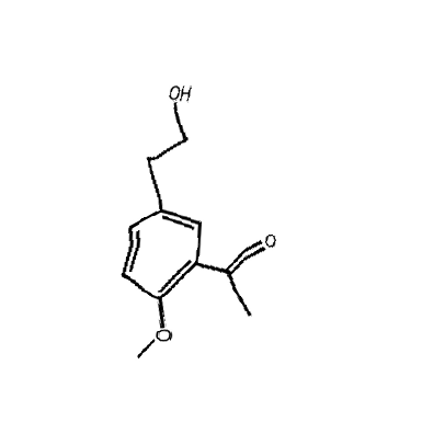 COc1ccc(CCO)cc1C(C)=O